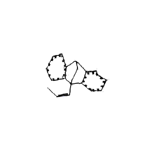 C/C=C\C12CCC(c3ccccc31)c1ccccc12